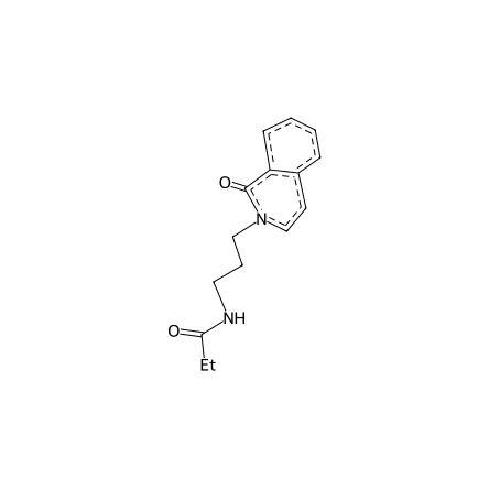 CCC(=O)NCCCn1ccc2ccccc2c1=O